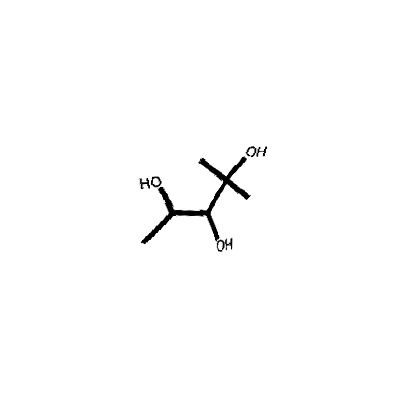 CC(O)C(O)C(C)(C)O